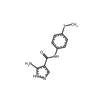 CSc1ccc(NC(=O)c2cn[nH]c2N)cc1